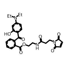 CCN(CC)c1ccc(C(=O)c2ccccc2C(=O)OCCNC(=O)CCN2C(=O)C=CC2=O)c(O)c1